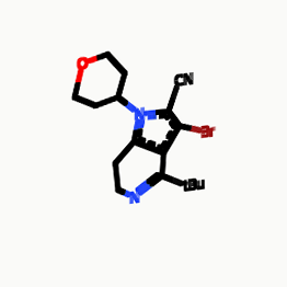 CC(C)(C)C1=NCCc2c1c(Br)c(C#N)n2C1CCOCC1